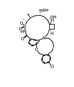 CN[C@H]1C[C@H](C)[C@@H](C)S(=O)(=O)NC(=O)c2ccc3c(c2)N(CCCCc2cc(Cl)ccc2CO3)C[C@@H]2CC[C@H]2[C@@H](O)C1